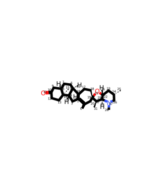 CC1=C2C[C@H]3[C@@H](CC[C@@H]4CC(=O)CC[C@@]43C)[C@@H]2CC[C@@]2(C1)O[C@@H]1C[C@H](C)CN(C)[C@H]1[C@H]2C